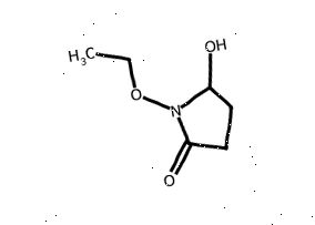 CCON1C(=O)CCC1O